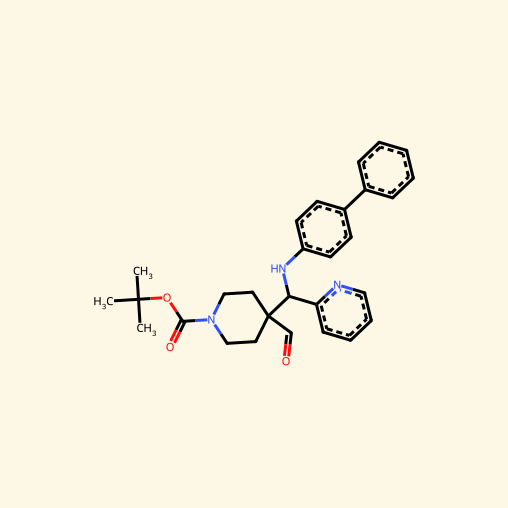 CC(C)(C)OC(=O)N1CCC(C=O)(C(Nc2ccc(-c3ccccc3)cc2)c2ccccn2)CC1